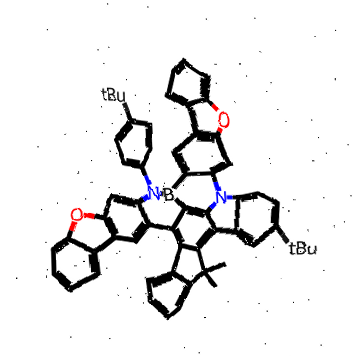 CC(C)(C)c1ccc(N2B3c4cc5c(cc4-n4c6ccc(C(C)(C)C)cc6c6c7c(c(c3c64)-c3cc4c(cc32)oc2ccccc24)-c2ccccc2C7(C)C)oc2ccccc25)cc1